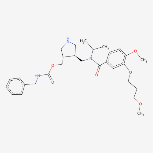 COCCCOc1cc(C(=O)N(C[C@@H]2CNC[C@H]2COC(=O)NCc2ccccc2)C(C)C)ccc1OC